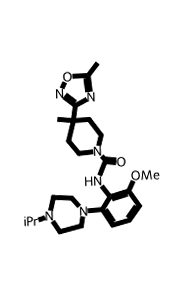 COc1cccc(N2CCN(C(C)C)CC2)c1NC(=O)N1CCC(C)(c2noc(C)n2)CC1